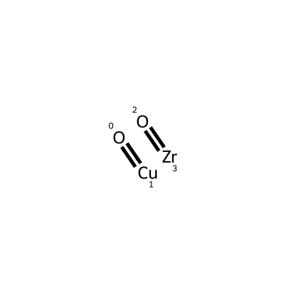 [O]=[Cu].[O]=[Zr]